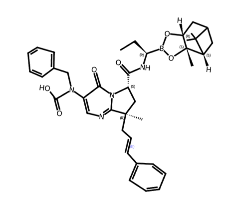 CC[C@H](NC(=O)[C@@H]1C[C@@](C)(C/C=C/c2ccccc2)c2ncc(N(Cc3ccccc3)C(=O)O)c(=O)n21)B1O[C@@H]2CC3C[C@@H](C3(C)C)[C@]2(C)O1